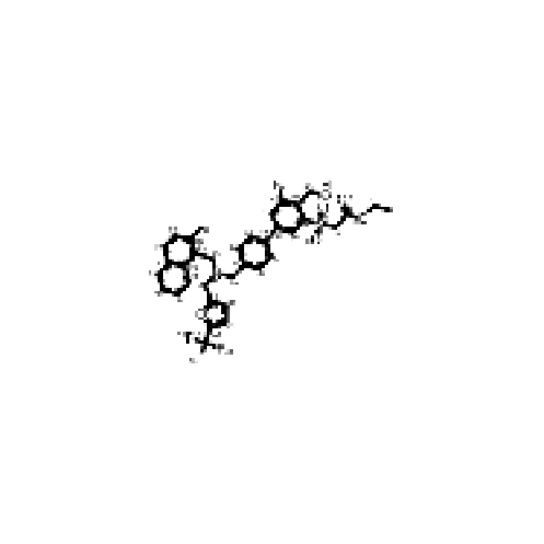 CCOC(=O)CS(=O)(=O)c1cc(-c2ccc(CN(Cc3ccc(C(F)(F)F)o3)Cc3c(C)ccc4ccccc34)cc2)cc(F)c1CO